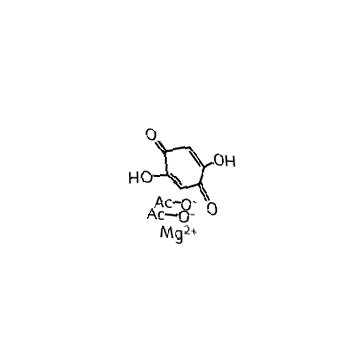 CC(=O)[O-].CC(=O)[O-].O=C1C=C(O)C(=O)C=C1O.[Mg+2]